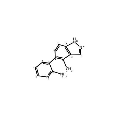 Cc1c(-c2cccnc2N)ccc2[nH]ncc12